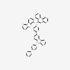 c1ccc(-c2ccc(-n3c4ccccc4c4cc(-c5ccc(N(c6cc7ccccc7c7ccccc67)c6cccc7c6sc6ccccc67)cc5)ccc43)cc2)cc1